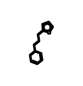 C1=CCC(CCCc2ccco2)C=C1